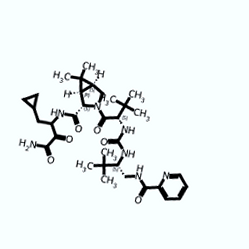 CC(C)(C)[C@H](NC(=O)N[C@H](CNC(=O)c1ccccn1)C(C)(C)C)C(=O)N1C[C@H]2[C@@H]([C@H]1C(=O)NC(CC1CC1)C(=O)C(N)=O)C2(C)C